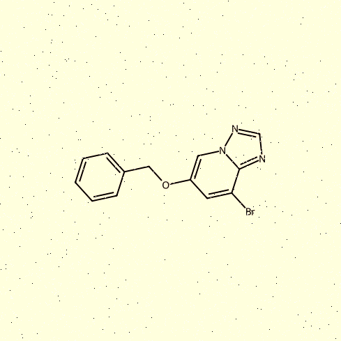 Brc1cc(OCc2ccccc2)cn2ncnc12